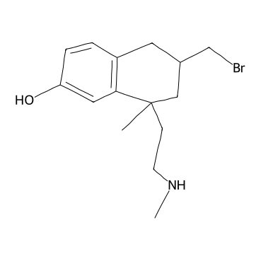 CNCCC1(C)CC(CBr)Cc2ccc(O)cc21